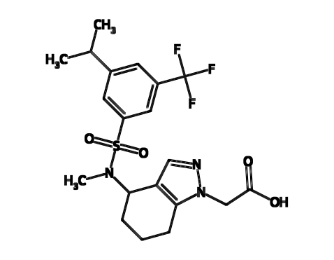 CC(C)c1cc(C(F)(F)F)cc(S(=O)(=O)N(C)C2CCCc3c2cnn3CC(=O)O)c1